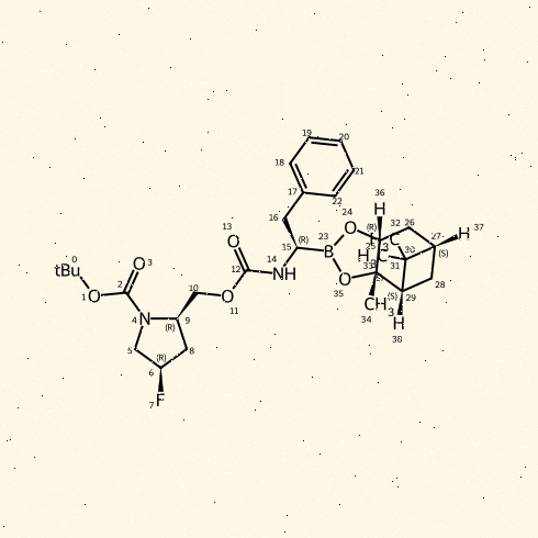 CC(C)(C)OC(=O)N1C[C@H](F)C[C@@H]1COC(=O)N[C@@H](Cc1ccccc1)B1O[C@@H]2C[C@@H]3C[C@@H](C3(C)C)[C@]2(C)O1